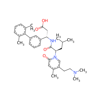 Cc1cc(=O)n([C@H](CC(C)C)C(=O)N[C@@H](CC(=O)O)c2cccc(-c3c(C)cccc3C)c2)cc1CCN(C)C